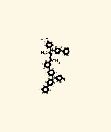 C/C(=C\C=C(/C)N(c1ccc(C)cc1)c1ccc(C2=CCCC=C2)cc1)c1cccc(-c2ccc(N(c3ccc(F)cc3)c3ccc(-c4ccccc4)cc3)cc2)c1